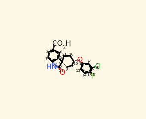 O=C(O)c1ccc2c(c1)[C@]1(CC[C@@H](Oc3ccc(F)c(Cl)c3)CC1)C(=O)N2